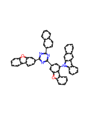 c1ccc2cc(-c3nc(-c4ccc5c(c4)oc4ccccc45)nc(-c4cc(-n5c6ccccc6c6cc7ccccc7cc65)c5c(c4)oc4ccccc45)n3)ccc2c1